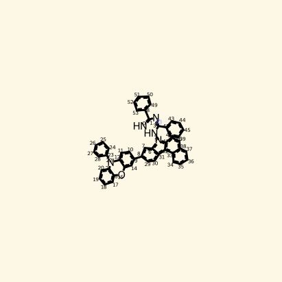 N=C(/N=C(\Nn1c2cc(-c3ccc4c(c3)Oc3ccccc3N4c3ccccc3)ccc2c2c3ccccc3ccc21)c1ccccc1)c1ccccc1